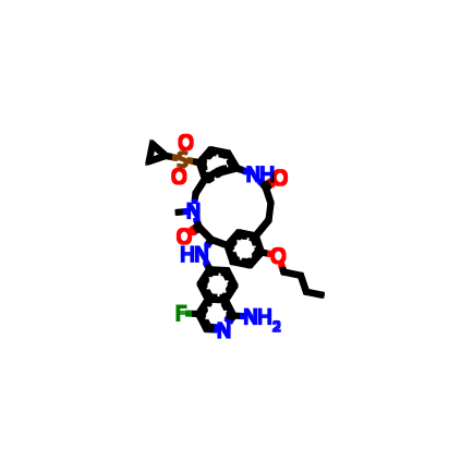 CCCCOc1ccc2cc1CCC(=O)Nc1ccc(S(=O)(=O)C3CC3)c(c1)CN(C)C(=O)C2Nc1ccc2c(N)ncc(F)c2c1